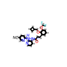 N#Cc1ccc(Nc2ncccc2NC(=O)/C=C/c2cccc(OC(F)F)c2OCC2CCC2)nc1